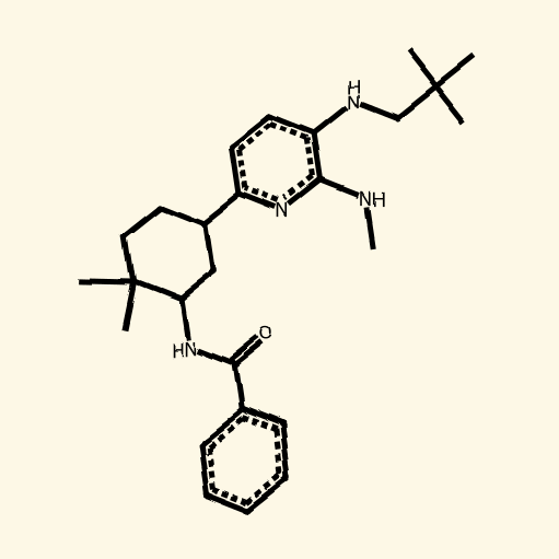 CNc1nc(C2CCC(C)(C)C(NC(=O)c3ccccc3)C2)ccc1NCC(C)(C)C